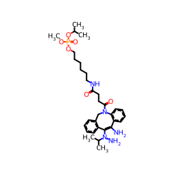 COP(=O)(OCCCCCCNC(=O)CCC(=O)N1Cc2ccccc2/C(N(N)C(C)C)=C(/N)c2ccccc21)OC(C)C